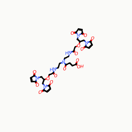 O=C(O)CCC(=O)N(CCNC(=O)COC(CN1C(=O)C=CC1=O)CN1C(=O)C=CC1=O)CCNC(=O)COC(CN1C(=O)C=CC1=O)CN1C(=O)C=CC1=O